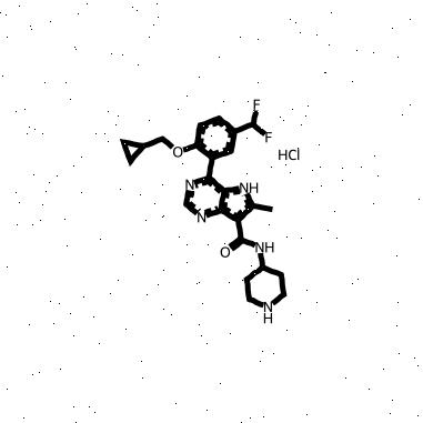 Cc1[nH]c2c(-c3cc(C(F)F)ccc3OCC3CC3)ncnc2c1C(=O)NC1CCNCC1.Cl